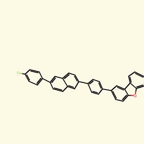 Fc1ccc(-c2ccc3cc(-c4ccc(-c5ccc6oc7ccccc7c6c5)cc4)ccc3c2)cc1